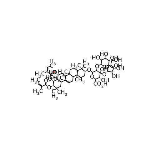 C/C=C(/C)C(=O)O[C@H]1[C@H](OC(=O)/C(C)=C\C)[C@@]2(CO)C(CC1(C)C)C1=CCC3[C@@]4(C)CC[C@H](O[C@@H]5OC(C(=O)O)[C@@H](O)[C@@](O)(O[C@@H]6O[C@@H](CO)[C@@H](O)C6O)C5O[C@@H]5OC(CO)[C@H](O)[C@@H](O)C5O)C(C)(C)C4CC[C@@]3(C)[C@]1(C)C[C@H]2O